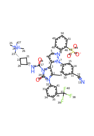 Cc1c(-c2ccnn2-c2ccc(C#N)cc2)n(C(=O)N[C@H]2C[C@@H](C[N+](C)(C)C)C2)c(=O)n1-c1cccc(C(F)(F)F)c1.O=S(=O)([O-])c1ccccc1